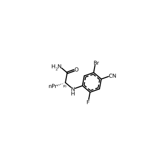 CCC[C@@H](Nc1cc(Br)c(C#N)cc1F)C(N)=O